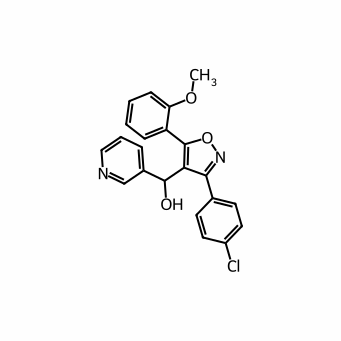 COc1ccccc1-c1onc(-c2ccc(Cl)cc2)c1C(O)c1cccnc1